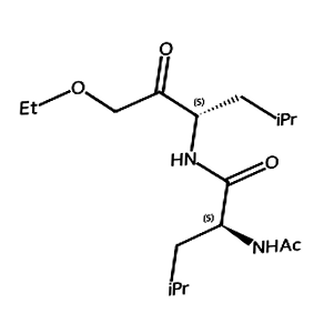 CCOCC(=O)[C@H](CC(C)C)NC(=O)[C@H](CC(C)C)NC(C)=O